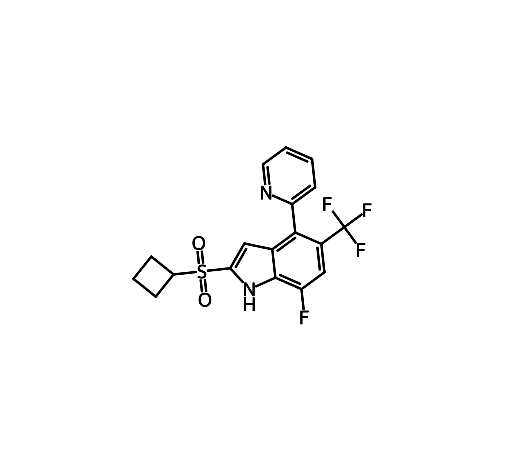 O=S(=O)(c1cc2c(-c3ccccn3)c(C(F)(F)F)cc(F)c2[nH]1)C1CCC1